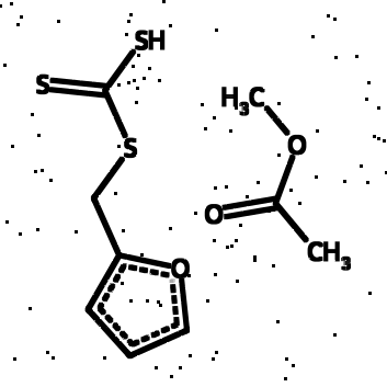 COC(C)=O.S=C(S)SCc1ccco1